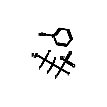 CCCC[n+]1ccccc1.O=S(=O)([O-])C(F)(F)C(F)(F)C(F)(F)C(F)(F)F